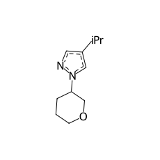 CC(C)c1cnn(C2CCCOC2)c1